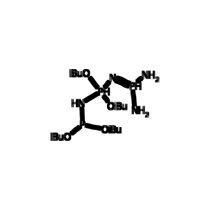 CC(C)COP(N[PH](N=[PH](N)N)(OCC(C)C)OCC(C)C)OCC(C)C